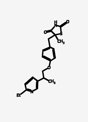 CCc1ccc(C(C)COc2ccc(CC3(C)SC(=O)NC3=O)cc2)cn1